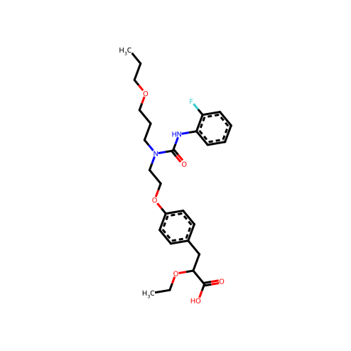 CCCOCCCN(CCOc1ccc(CC(OCC)C(=O)O)cc1)C(=O)Nc1ccccc1F